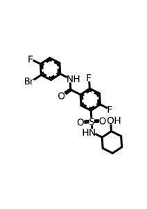 O=C(Nc1ccc(F)c(Br)c1)c1cc(S(=O)(=O)NC2CCCCC2O)c(F)cc1F